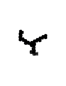 C=C(CC/C=C(\C)CCC=C(C)C)CC[C@@H]1C=C(CC/C=C(\C)CCC=C(C)C)C[C@H](COCC(=O)O)C1